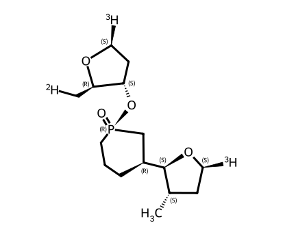 [2H]C[C@H]1O[C@@H]([3H])C[C@@H]1O[P@]1(=O)CCC[C@H]([C@H]2O[C@@H]([3H])C[C@@H]2C)C1